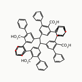 O=C(O)c1c(-c2ccccc2)cc(C(c2cc(-c3ccccc3)c(C(=O)O)c(-c3ccccc3)c2)C(c2cc(-c3ccccc3)c(C(=O)O)c(-c3ccccc3)c2)c2cc(-c3ccccc3)c(C(=O)O)c(-c3ccccc3)c2)cc1-c1ccccc1